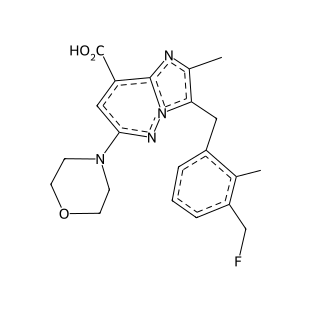 Cc1nc2c(C(=O)O)cc(N3CCOCC3)nn2c1Cc1cccc(CF)c1C